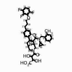 Cc1ccccc1CN(C(=O)C1=C(c2ccc(CCCOc3c(F)ccc(F)c3F)cc2)CC2CN(C(=O)C(O)C(O)C(=O)O)CC1N2)C1CC1